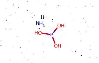 N.OP(O)O.[H]